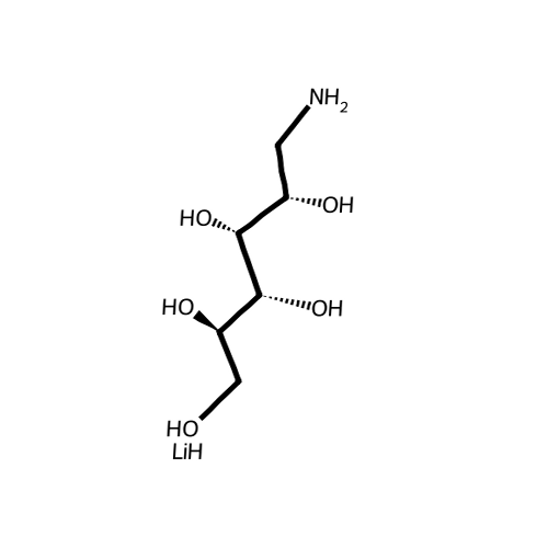 NC[C@H](O)[C@@H](O)[C@H](O)[C@H](O)CO.[LiH]